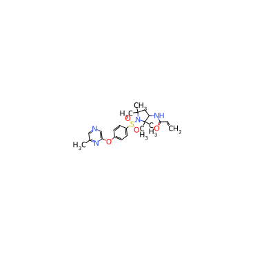 C=CC(=O)NC1CC(C)(C)N(S(=O)(=O)c2ccc(Oc3cncc(C)n3)cc2)C1(C)C